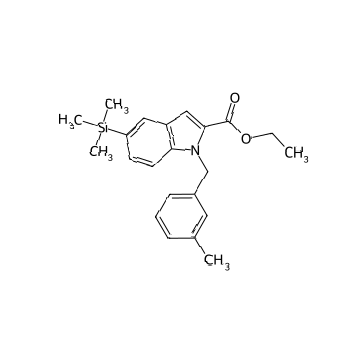 CCOC(=O)c1cc2cc([Si](C)(C)C)ccc2n1Cc1cccc(C)c1